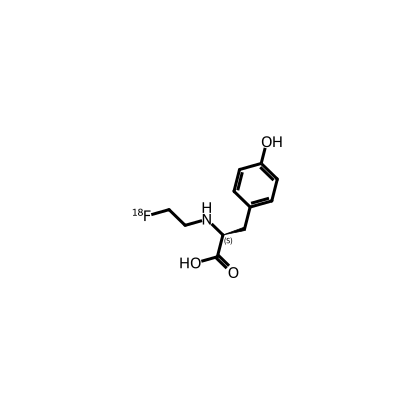 O=C(O)[C@H](Cc1ccc(O)cc1)NCC[18F]